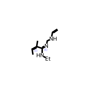 C=CNC/N=C(NCC)\C(C)=C/C